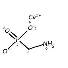 NCP(=O)([O-])[O-].[Ca+2]